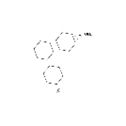 C1CCCCC1.C1CCCCC1.C1CCCCC1.O.O.O